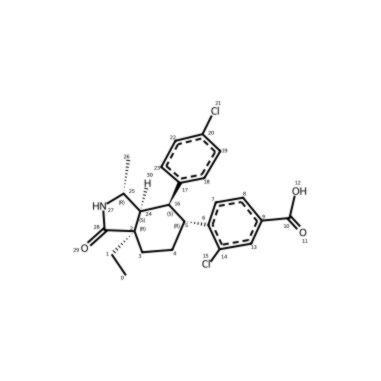 CC[C@@]12CC[C@@H](c3ccc(C(=O)O)cc3Cl)[C@H](c3ccc(Cl)cc3)[C@@H]1[C@@H](C)NC2=O